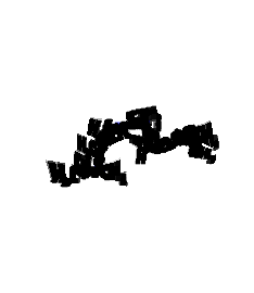 C=C(C/C=C(\C)CCC=C(C)C)CCC(C)(C)/C=C/CC/C(C)=C\CO[C@@H](CO)COCc1ccc(OC)c(OC)c1